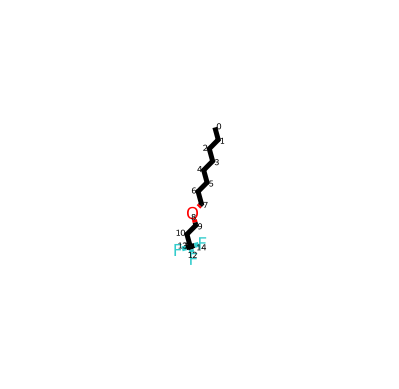 CCCCCCCCOCCC(F)(F)F